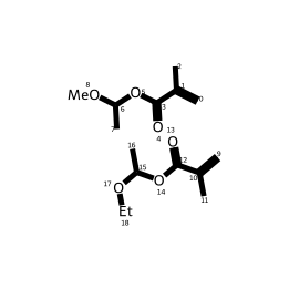 C=C(C)C(=O)OC(C)OC.C=C(C)C(=O)OC(C)OCC